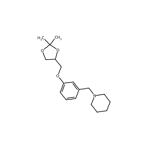 CC1(C)OCC(COc2cccc(CN3CCCCC3)c2)O1